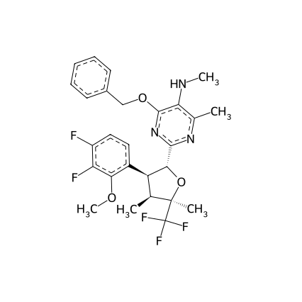 CNc1c(C)nc([C@@H]2O[C@@](C)(C(F)(F)F)[C@@H](C)[C@H]2c2ccc(F)c(F)c2OC)nc1OCc1ccccc1